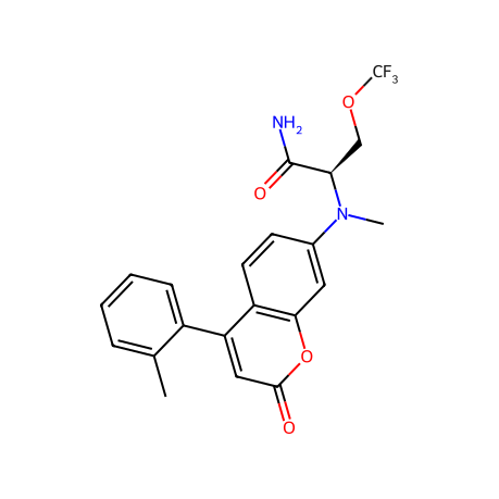 Cc1ccccc1-c1cc(=O)oc2cc(N(C)[C@H](COC(F)(F)F)C(N)=O)ccc12